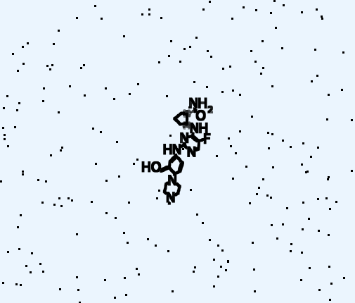 CN1CCN(C2C=CC(Nc3ncc(F)c(N[C@@H]4CCC[C@@H]4C(N)=O)n3)=CC2=CO)CC1